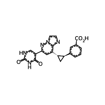 O=C(O)c1cccc([C@H]2C[C@@H]2c2cc(-c3c[nH]c(=O)[nH]c3=O)nn3ccnc23)c1